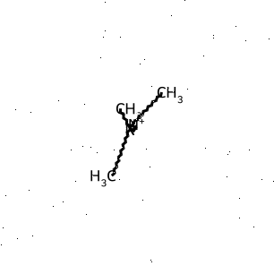 CCCCCCCCCCCCCCCn1cc[n+](CCCCCCCCCCCCC)c1CCCCCC